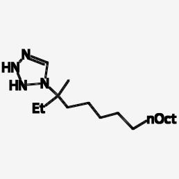 CCCCCCCCCCCCCC(C)(CC)N1C=NNN1